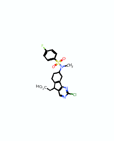 CN(C1CCC2=C(C1)c1nc(Cl)ncc1C2CC(=O)O)S(=O)(=O)c1ccc(F)cc1